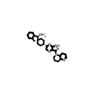 N[C@@H]1c2ccccc2C[C@]12CC[C@@H](c1cnc3c(N4CCCc5ncccc54)n[nH]c3n1)CC2